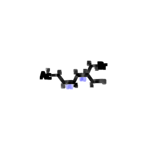 C=C/C(=C\C=C/CC(C)=O)CBr